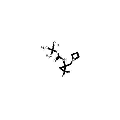 CC(C)(C)OC(=O)NC1(CN2CCC2)CC1(F)F